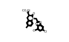 CCOC(=O)CC1Cc2cc(C)ccc2N(Cc2nc3cc(Cl)cc(Cl)c3s2)C1=O